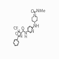 CNC(=O)N1CCC(Nc2ccc(NC(=O)c3nc(-c4ccccc4)oc3C(F)(F)F)cn2)CC1